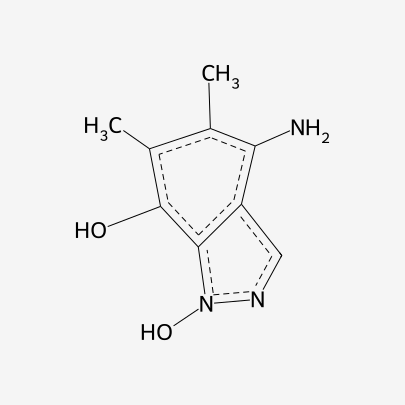 Cc1c(C)c(O)c2c(cnn2O)c1N